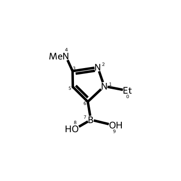 CCn1nc(NC)cc1B(O)O